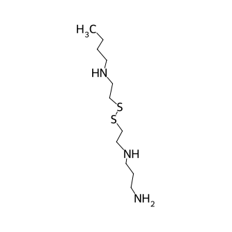 CCCCNCCSSCCNCCCN